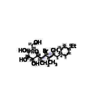 CCc1ccc(C/C(C)=C(C)/C(Br)=C(\C)[C@@H]2O[C@H](CO)[C@@H](O)[C@H](O)[C@H]2O)cc1